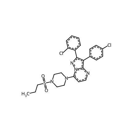 CCCS(=O)(=O)N1CCN(c2ccnc3c(-c4ccc(Cl)cc4)c(-c4ccccc4Cl)nn23)CC1